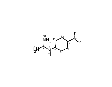 CC(C)C1CCC(NC(N)N)CC1